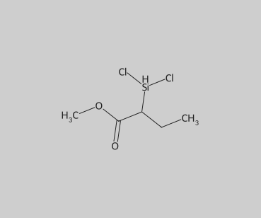 CCC(C(=O)OC)[SiH](Cl)Cl